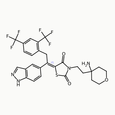 NC1(CCN2C(=O)S/C(=C(/Cc3ccc(C(F)(F)F)cc3C(F)(F)F)c3ccc4[nH]ncc4c3)C2=O)CCOCC1